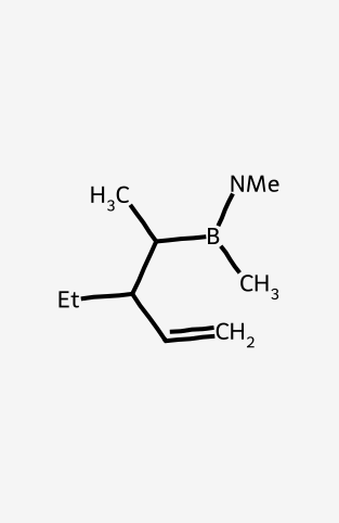 C=CC(CC)C(C)B(C)NC